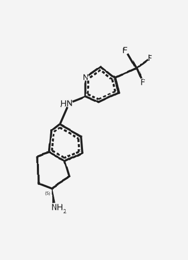 N[C@H]1CCc2cc(Nc3ccc(C(F)(F)F)cn3)ccc2C1